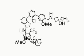 COc1nc(-c2cccc(-c3cccc4c3CC[C@@H]4Nc3nc(OC)c(CN4CCC5CC4(C(=O)O)C5)cc3C(F)(F)F)c2Cl)ccc1CN[C@H]1C[C@](C)(O)C1